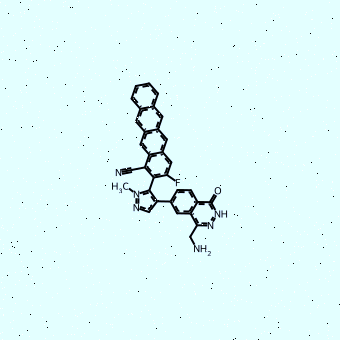 Cn1ncc(-c2ccc3c(=O)[nH]nc(CN)c3c2)c1-c1c(F)cc2cc3cc4ccccc4cc3cc2c1C#N